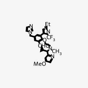 CCn1cc(-c2cc(Cn3ccnc3)cc(C=O)c2OCCN(C)C(c2cc(OC)ccn2)C2CC2)c(C(F)(F)F)n1